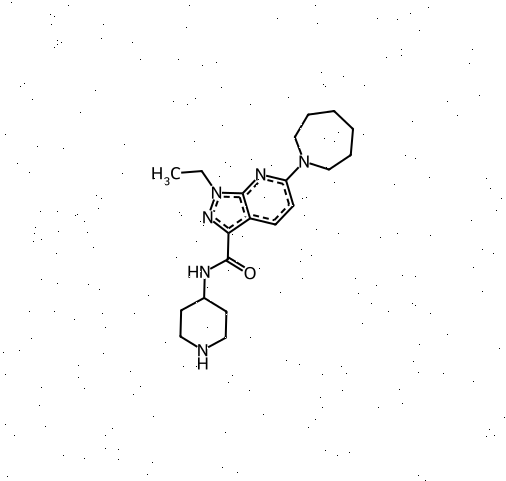 CCn1nc(C(=O)NC2CCNCC2)c2ccc(N3CCCCCC3)nc21